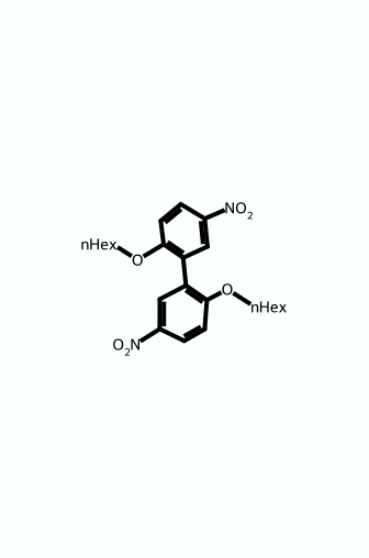 CCCCCCOc1ccc([N+](=O)[O-])cc1-c1cc([N+](=O)[O-])ccc1OCCCCCC